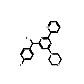 Fc1ccc(C(S)c2cc(N3CCOCC3)nc(-c3ccccn3)n2)cc1